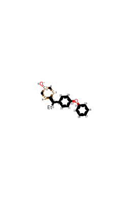 CCC(=C1SC[S+]([O-])CS1)c1ccc(Oc2ccccc2)cc1